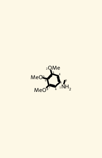 CN.COc1cccc(OC)c1OC